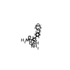 NC(=O)Nc1sc(-c2ccc(CN3CCCOCC3)cc2)cc1OC(N)=O